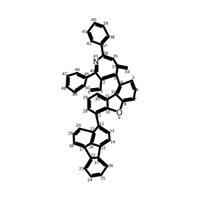 C=CC1=C(c2cccc3oc4c(-c5ccc6c7c(cccc57)-c5ccccc5-6)cccc4c23)C(=C)C=C(c2ccccc2)N=C1c1ccccc1